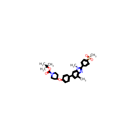 Cc1cc(-c2ccc(OC3CCN(C(=O)OC(C)(C)C)CC3)cc2)cc2c1nc(-c1ccc(S(C)(=O)=O)cc1)n2C